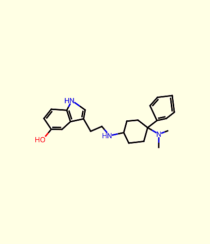 CN(C)C1(c2ccccc2)CCC(NCCc2c[nH]c3ccc(O)cc23)CC1